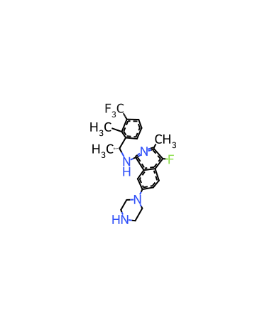 Cc1nc(N[C@H](C)c2cccc(C(F)(F)F)c2C)c2cc(N3CCNCC3)ccc2c1F